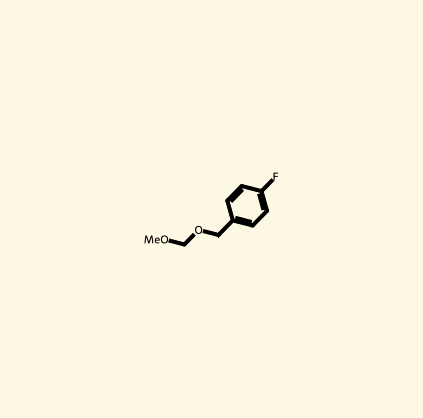 COCO[CH]c1ccc(F)cc1